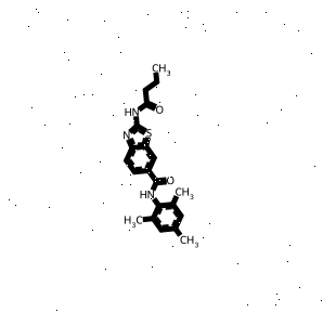 CCCC(=O)Nc1nc2ccc(C(=O)Nc3c(C)cc(C)cc3C)cc2s1